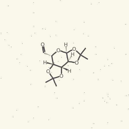 CC1(C)O[C@@H]2O[C@@H](C=O)[C@H]3OC(C)(C)O[C@H]3[C@@H]2O1